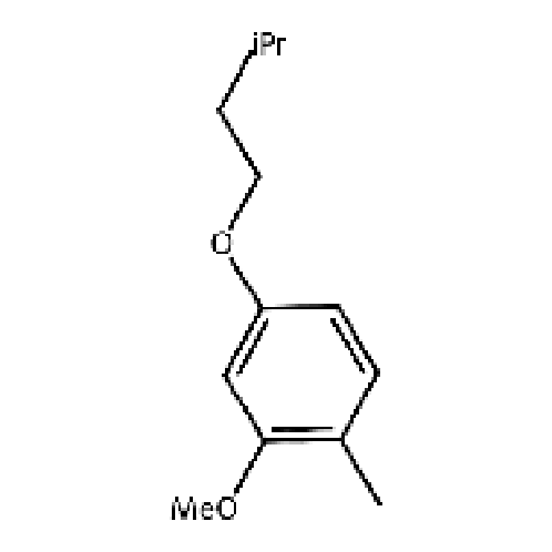 COc1cc(OCCC(C)C)ccc1C